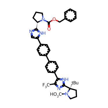 CC(C)(C)[C@]1(c2nc(C(F)(F)F)c(-c3ccc(-c4ccc(-c5cnc([C@@H]6CCCN6C(=O)OCc6ccccc6)[nH]5)cc4)cc3)[nH]2)CCCN1C(=O)O